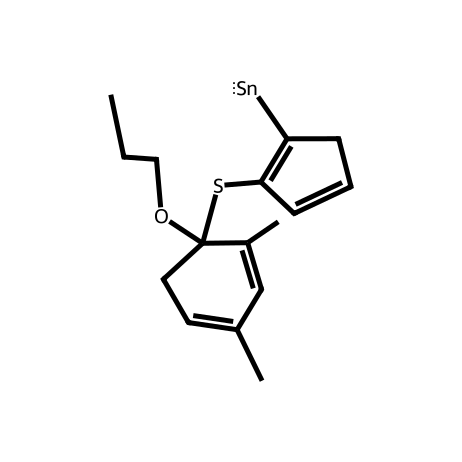 CCCOC1(SC2=[C]([Sn])CC=C2)CC=C(C)C=C1C